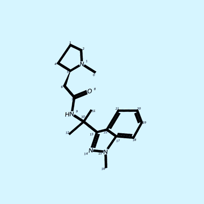 CN1CCC[C@@H]1CC(=O)NC(C)(C)c1nn(C)c2ccccc12